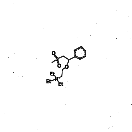 CC[N+](CC)(CC)CCOC(CS(C)(=O)=O)c1ccccc1